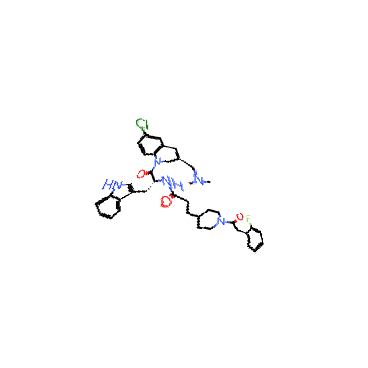 CN(C)C[C@@H]1Cc2cc(Cl)ccc2N(C(=O)[C@@H](Cc2c[nH]c3ccccc23)NC(=O)CCC2CCN(C(=O)Cc3ccccc3F)CC2)C1